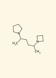 CC(CCC(C)N1CCC1)N1CCCC1